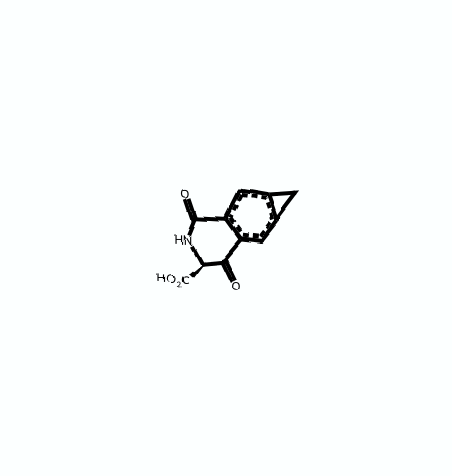 O=C1N[C@H](C(=O)O)C(=O)c2cc3c(cc21)C3